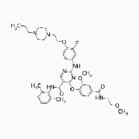 CCCN1CCN(CCOc2ccc(Nc3ncc(C(=O)Nc4c(C)cccc4C)c(Oc4ccc(C(=O)NCCOC)cc4OC)n3)cc2F)CC1